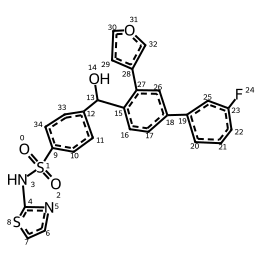 O=S(=O)(Nc1nccs1)c1ccc(C(O)c2ccc(-c3cccc(F)c3)cc2-c2ccoc2)cc1